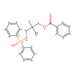 CCC(C)(COC(=O)c1ccccc1)COP(=O)(c1ccccc1)c1ccccc1